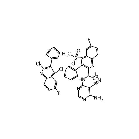 CC(Nc1ncnc(N)c1C#N)c1nc2ccc(F)cc2c(S(C)(=O)=O)c1-c1ccccc1.Fc1ccc2nc(Cl)c(-c3ccccc3)c(Cl)c2c1